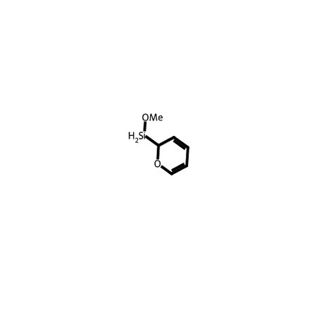 CO[SiH2]C1C=CC=CO1